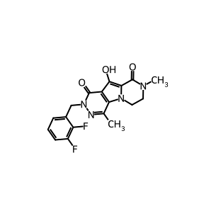 Cc1nn(Cc2cccc(F)c2F)c(=O)c2c(O)c3n(c12)CCN(C)C3=O